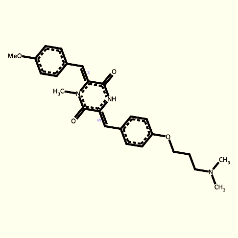 COc1ccc(/C=c2/c(=O)[nH]/c(=C\c3ccc(OCCCN(C)C)cc3)c(=O)n2C)cc1